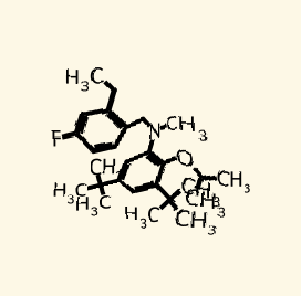 CCc1cc(F)ccc1CN(C)c1cc(C(C)(C)C)cc(C(C)(C)C)c1OC(C)C